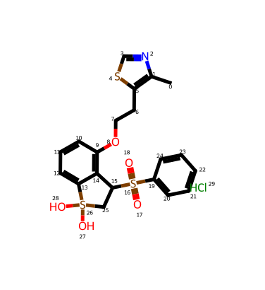 Cc1ncsc1CCOc1cccc2c1C(S(=O)(=O)c1ccccc1)CS2(O)O.Cl